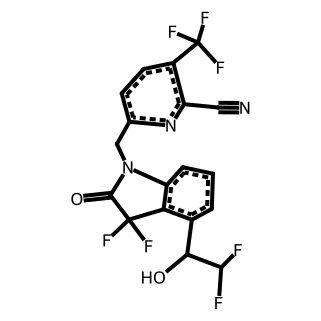 N#Cc1nc(CN2C(=O)C(F)(F)c3c(C(O)C(F)F)cccc32)ccc1C(F)(F)F